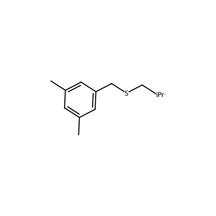 C[C](C)CSCc1cc(C)cc(C)c1